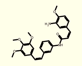 COc1ccc(/C=C\C(=O)Nc2cccc(/C=C\c3cc(OC)c(OC)c(OC)c3)c2)cc1N